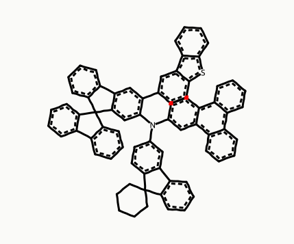 c1ccc2c(c1)-c1cc(N(c3ccc4c5ccccc5c5ccccc5c4c3)c3cc4c(cc3-c3ccc5sc6ccccc6c5c3)-c3ccccc3C43c4ccccc4-c4ccccc43)ccc1C21CCCCC1